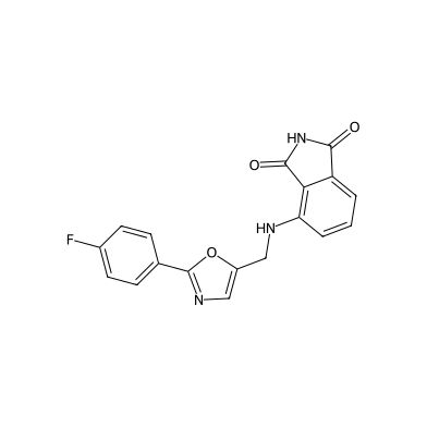 O=C1NC(=O)c2c(NCc3cnc(-c4ccc(F)cc4)o3)cccc21